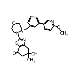 COc1ccc(-c2cccc(C[C@H]3COCCN3c3nc4c(s3)C(=O)CC(C)(C)C4)c2)cn1